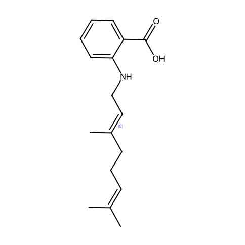 CC(C)=CCC/C(C)=C/CNc1ccccc1C(=O)O